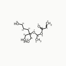 C=CC(=O)OC(C)OC(CO)(CO)CCCO